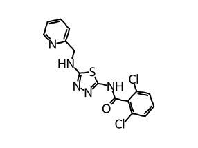 O=C(Nc1nnc(NCc2ccccn2)s1)c1c(Cl)cccc1Cl